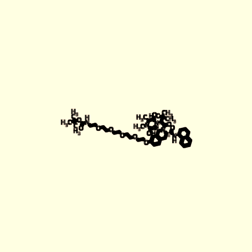 C[C@@H](C(=O)N[C@H](C(=O)N1Cc2cc(OCCOCCOCCOCCOCCNC(=O)OC(C)(C)C)ccc2C[C@H]1C(=O)N[C@@H]1CCCc2ccccc21)C(C)(C)C)N(C)C(=O)O